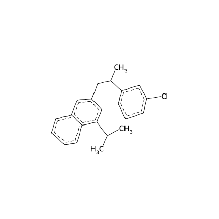 CC(C)c1cc(CC(C)c2cccc(Cl)c2)cc2ccccc12